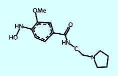 COc1cc(C(=O)NCCN2CCCC2)ccc1NO